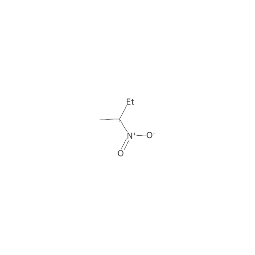 CC[C](C)[N+](=O)[O-]